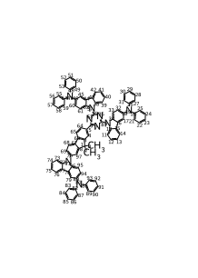 CC1(C)c2cc(-c3nc(-n4c5ccccc5c5cc(N(c6ccccc6)c6ccccc6)ccc54)nc(-n4c5ccccc5c5cc(N(c6ccccc6)c6ccccc6)ccc54)n3)ccc2-c2ccc(-n3c4ccccc4c4cc(N(c5ccccc5)c5ccccc5)ccc43)cc21